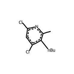 CCCCc1c(Cl)cc(Cl)nc1C